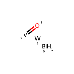 [BiH3].[O]=[V].[W]